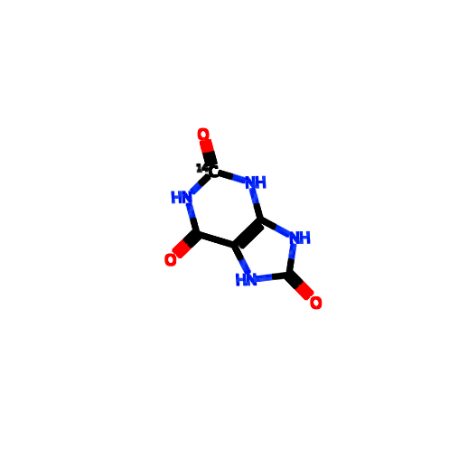 O=c1[nH]c2[nH][14c](=O)[nH]c(=O)c2[nH]1